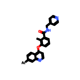 CC(=O)c1ccc2c(Oc3cccc(C(=O)NCc4ccncc4)c3C)ccnc2c1